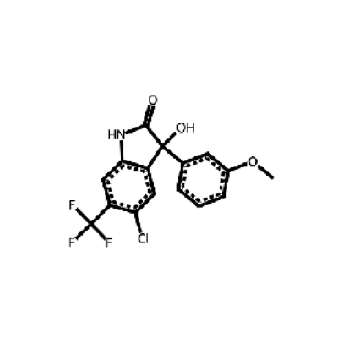 COc1cccc(C2(O)C(=O)Nc3cc(C(F)(F)F)c(Cl)cc32)c1